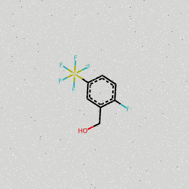 OCc1cc(S(F)(F)(F)(F)F)ccc1F